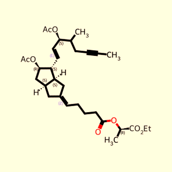 CC#CCC(C)[C@@H](/C=C/[C@@H]1[C@H]2C/C(=C\CCCC(=O)O[C@H](C)C(=O)OCC)C[C@H]2C[C@H]1OC(C)=O)OC(C)=O